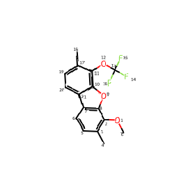 COc1c(C)ccc2c1oc1c(OC(F)(F)F)c(C)ccc12